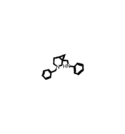 c1ccc(CN2CCC3CC3(CNc3ccccc3)C2)cc1